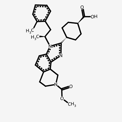 COC(=O)N1CCc2ccc3c(nc([C@H]4CC[C@H](C(=O)O)CC4)n3[C@@H](C)Cc3ccccc3C)c2C1